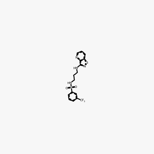 O=S(=O)(NCCCNc1nsc2cccnc12)c1cccc(C(F)(F)F)c1